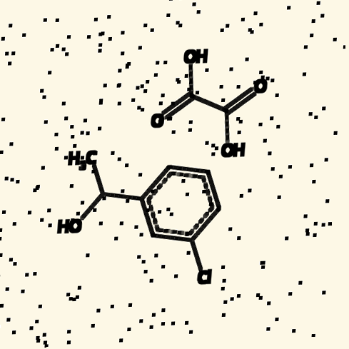 CC(O)c1cccc(Cl)c1.O=C(O)C(=O)O